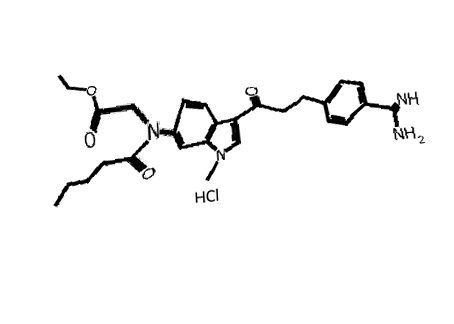 CCCCC(=O)N(CC(=O)OCC)c1ccc2c(C(=O)CCc3ccc(C(=N)N)cc3)cn(C)c2c1.Cl